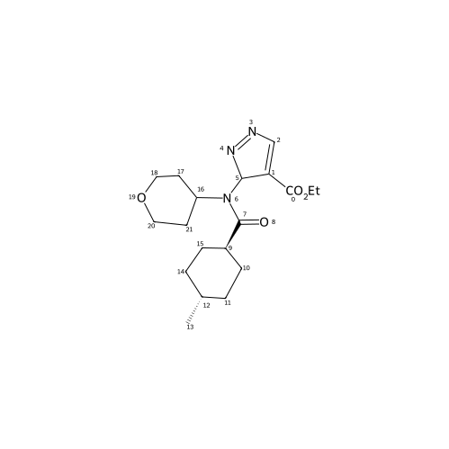 CCOC(=O)C1=CN=NC1N(C(=O)[C@H]1CC[C@H](C)CC1)C1CCOCC1